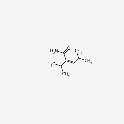 CC(C)C=C(C(N)=O)C(C)C